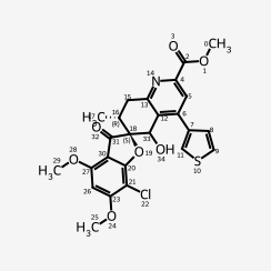 COC(=O)c1cc(-c2ccsc2)c2c(n1)C[C@@H](C)[C@]1(Oc3c(Cl)c(OC)cc(OC)c3C1=O)C2O